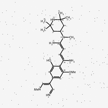 CN/C=C(\C=N)c1cc(O)c(/C(N)=C/C=C(\N)N(C)C2CC(C)(C)NC(C)(C)C2)c(OC)c1